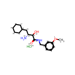 COc1cccc(CNC(=O)C(O)[C@H](N)CC2CCCCC2)c1.Cl